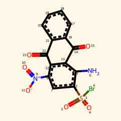 Nc1c(S(=O)(=O)Br)cc([N+](=O)[O-])c2c1C(=O)c1ccccc1C2=O